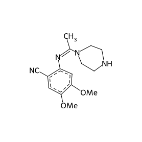 COc1cc(C#N)c(/N=C(/C)N2CCNCC2)cc1OC